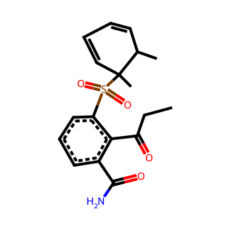 CCC(=O)c1c(C(N)=O)cccc1S(=O)(=O)C1(C)C=CC=CC1C